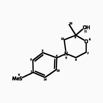 CSc1ccc(N2CCOC(C)(O)C2)cc1